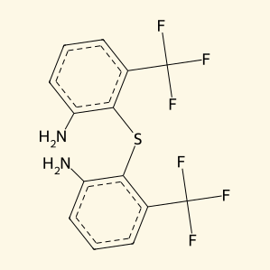 Nc1cccc(C(F)(F)F)c1Sc1c(N)cccc1C(F)(F)F